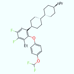 CCC[C@H]1CC[C@H]([C@H]2CC[C@H](c3[c]c(F)c(F)c(CC)c3Oc3ccc(OC(F)F)cc3)CC2)CC1